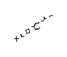 C\C=C/C(=C\C=N\CC(=O)OCC)O[C@H]1C[C@@H](NC(=O)OC(C)(C)C)C1